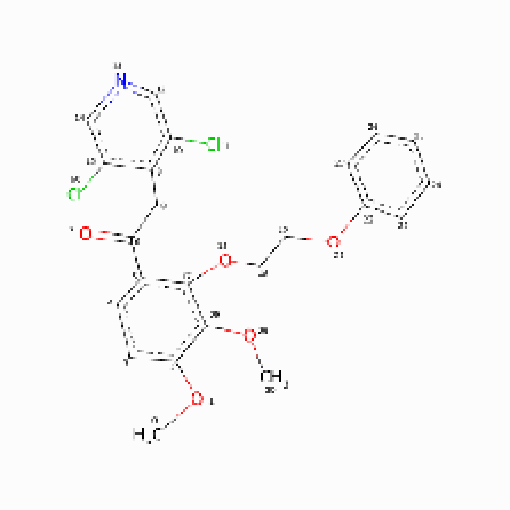 COc1ccc(C(=O)Cc2c(Cl)cncc2Cl)c(OCCOc2ccccc2)c1OC